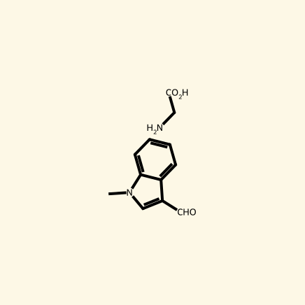 Cn1cc(C=O)c2ccccc21.NCC(=O)O